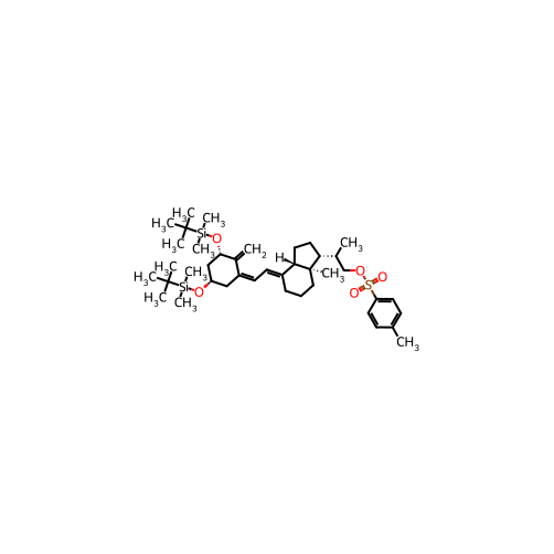 C=C1/C(=C\C=C2/CCC[C@]3(C)[C@@H](C(C)COS(=O)(=O)c4ccc(C)cc4)CC[C@@H]23)C[C@@H](O[Si](C)(C)C(C)(C)C)C[C@@H]1O[Si](C)(C)C(C)(C)C